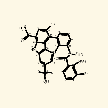 CNc1c(F)cccc1C(=O)N(C=O)c1cccc(-c2c(F)cc(C(N)=O)c3[nH]c4cc(C(C)(C)O)ccc4c23)c1C